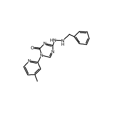 Cc1ccnc(-n2cnc(NNCc3ccccc3)nc2=O)c1